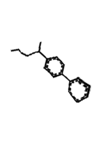 CCCC(C)c1ccc(-c2ccccc2)cc1